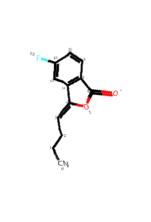 N#CCCC=C1OC(=O)c2ccc(F)cc21